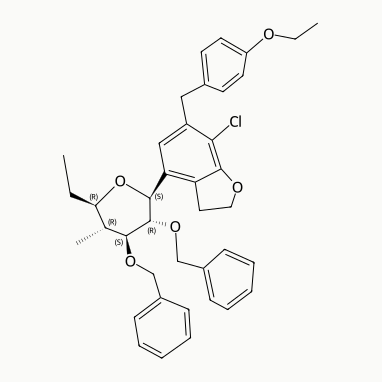 CCOc1ccc(Cc2cc([C@@H]3O[C@H](CC)[C@@H](C)[C@H](OCc4ccccc4)[C@H]3OCc3ccccc3)c3c(c2Cl)OCC3)cc1